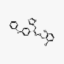 Clc1cccc(Cl)c1CON=C(Cn1cncn1)c1ccc(Oc2ccccc2)cc1